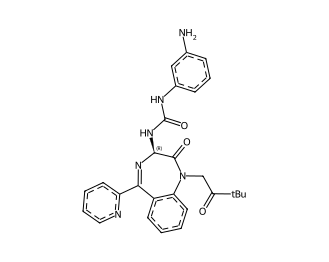 CC(C)(C)C(=O)CN1C(=O)[C@H](NC(=O)Nc2cccc(N)c2)N=C(c2ccccn2)c2ccccc21